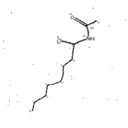 CCCCCCCC(Cl)NC(C)=O